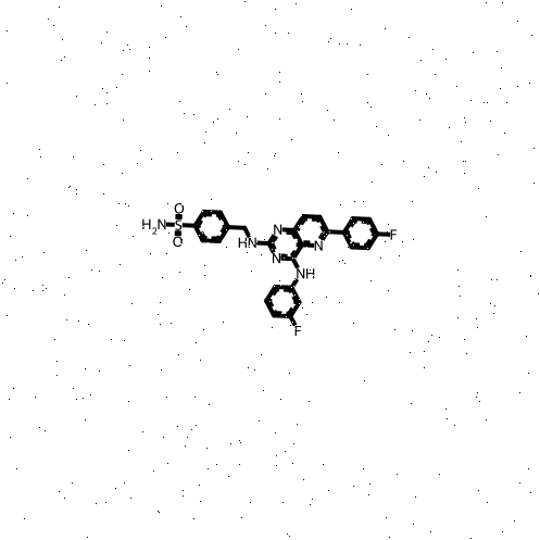 NS(=O)(=O)c1ccc(CNc2nc(Nc3cccc(F)c3)c3nc(-c4ccc(F)cc4)ccc3n2)cc1